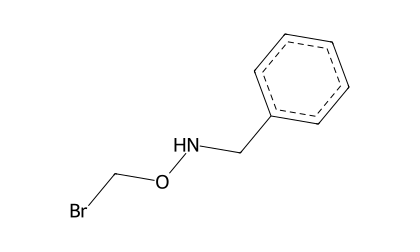 BrCONCc1ccccc1